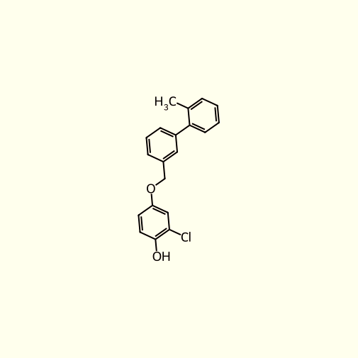 Cc1ccccc1-c1cccc(COc2ccc(O)c(Cl)c2)c1